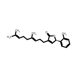 CC(C)=CCC/C(C)=C/CCC1=C[C@H](c2ccccc2C)OC1=O